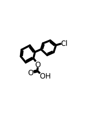 O=C(O)Oc1ccccc1-c1ccc(Cl)cc1